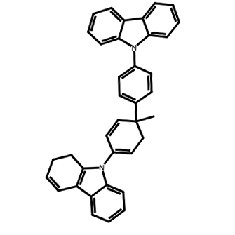 CC1(c2ccc(-n3c4ccccc4c4ccccc43)cc2)C=CC(n2c3c(c4ccccc42)C=CCC3)=CC1